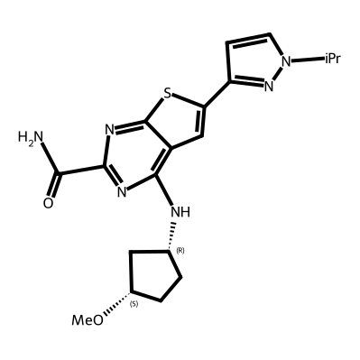 CO[C@H]1CC[C@@H](Nc2nc(C(N)=O)nc3sc(-c4ccn(C(C)C)n4)cc23)C1